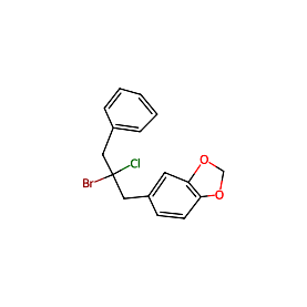 ClC(Br)(Cc1ccccc1)Cc1ccc2c(c1)OCO2